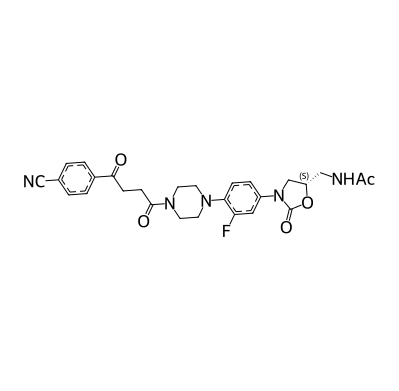 CC(=O)NC[C@H]1CN(c2ccc(N3CCN(C(=O)CCC(=O)c4ccc(C#N)cc4)CC3)c(F)c2)C(=O)O1